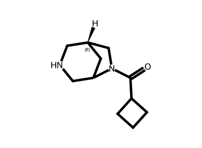 O=C(C1CCC1)N1C[C@H]2CNCC1C2